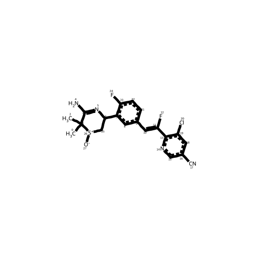 CC1(C)C(N)=NC(c2cc(/C=C(\F)c3ncc(C#N)cc3Cl)ccc2F)C[S+]1[O-]